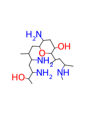 CNC(C)CC(C)C1OC(CC(C)C(N)CC(N)C(C)O)C(N)CC1O